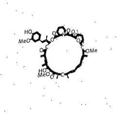 COC1C[C@@H]2CC[C@@H](C)[C@@](O)(O2)C(=O)C(=O)N2CCCCC2C(=O)O[C@H]([C@H](C)C[C@@H]2CC[C@@H](O)[C@H](OC)C2)CC(=O)C(C)/C=C(\C)C(O)[C@@H](OC)C(=O)[C@H](C)C[C@H](C)/C=C/C=C/C=C/1C